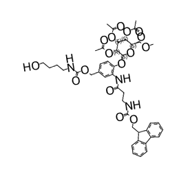 COC(=O)[C@H]1O[C@@H](Oc2ccc(COC(=O)NCCCCO)cc2NC(=O)CCNC(=O)OCC2c3ccccc3-c3ccccc32)[C@H](OC(C)=O)[C@@H](OC(C)=O)[C@@H]1OC(C)=O